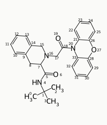 CC(C)(C)NC(=O)C1Cc2ccccc2CN1CC(=O)N1c2ccccc2Oc2ccccc21